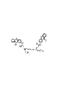 CCN(CCCCCCN(CC)CCC(=O)Oc1ccc2sc3ccccc3c(=O)c2c1)CCC(=O)Oc1ccc2sc3ccccc3c(=O)c2c1